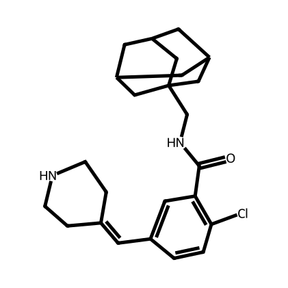 O=C(NCC12CC3CC(CC(C3)C1)C2)c1cc(C=C2CCNCC2)ccc1Cl